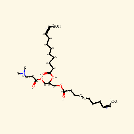 CCCCCCCC/C=C\CCCCCCCC(=O)OCC(COC(=O)CCN(C)C)OC(=O)CCCCCCC/C=C\CCCCCCCC